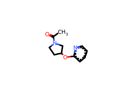 CC(=O)N1CCC(Oc2ccccn2)C1